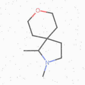 CC1N(C)CCC12CCOCC2